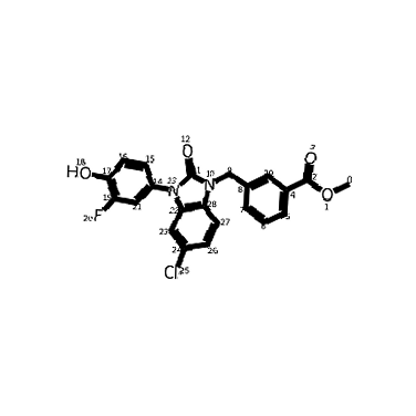 COC(=O)c1cccc(Cn2c(=O)n(-c3ccc(O)c(F)c3)c3cc(Cl)ccc32)c1